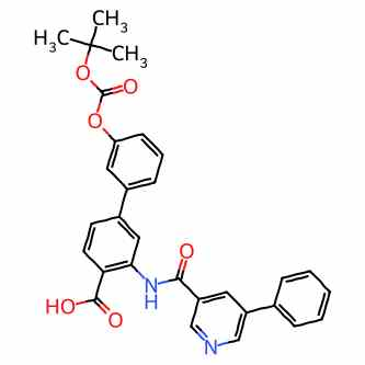 CC(C)(C)OC(=O)Oc1cccc(-c2ccc(C(=O)O)c(NC(=O)c3cncc(-c4ccccc4)c3)c2)c1